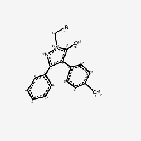 Cc1ccc(-c2c(-c3ccccc3)nn(CC(C)C)c2O)cc1